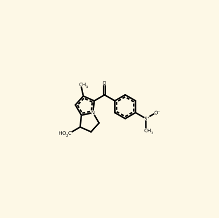 Cc1cc2n(c1C(=O)c1ccc([S+](C)[O-])cc1)CCC2C(=O)O